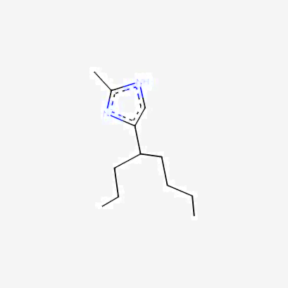 CCCCC(CCC)c1c[nH]c(C)n1